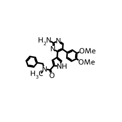 COc1ccc(-c2cnc(N)nc2-c2c[nH]c(C(=O)N(C)Cc3ccccc3)c2)cc1OC